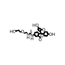 C#CCCOCCNC(=S)Nc1ccc2c(c1)C(=O)OC21c2ccc(O)cc2Oc2cc(O)ccc21